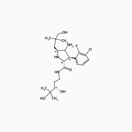 CC(C)(CO)C[C@@H]1N[C@@H](C(=O)NCC[C@H](O)C(C)(C)O)[C@H](c2cccc(Cl)c2F)C1N